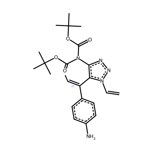 C=Cn1nnc(N(C(=O)OC(C)(C)C)C(=O)OC(C)(C)C)c1/C(=C\C)c1ccc(N)cc1